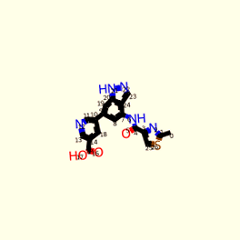 Cc1nc(C(=O)Nc2cc(-c3cncc(C(=O)O)c3)cc3[nH]ncc23)cs1